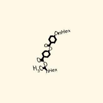 CCCCCCOC1CCC(C(=O)OC2CCC(C(=O)OC(C)CCCCCC)CC2)CC1